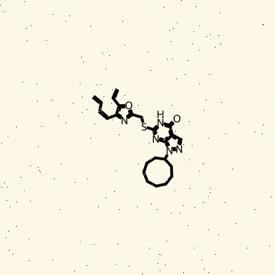 C=C/C=C\c1nc(CSc2nc3c(cnn3C3CCCCCCCC3)c(=O)[nH]2)oc1C=C